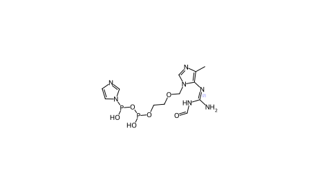 Cc1ncn(COCCOP(O)OP(O)n2ccnc2)c1/N=C(/N)NC=O